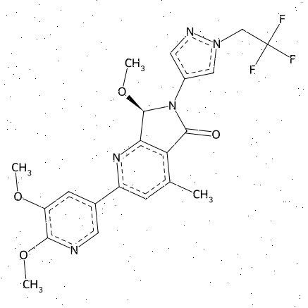 COc1cc(-c2cc(C)c3c(n2)[C@@H](OC)N(c2cnn(CC(F)(F)F)c2)C3=O)cnc1OC